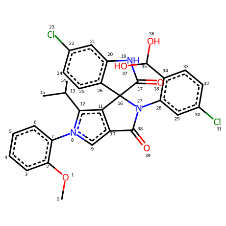 COc1ccccc1-n1cc2c(c1C(C)C)C1(C(=O)Nc3cc(Cl)ccc31)N(c1cc(Cl)ccc1C(O)O)C2=O